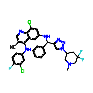 CN1CC(n2cc(C(Nc3cc(Cl)c4ncc(C#N)c(Nc5ccc(F)c(Cl)c5)c4c3)c3ccccc3)nn2)CC(F)(F)C1